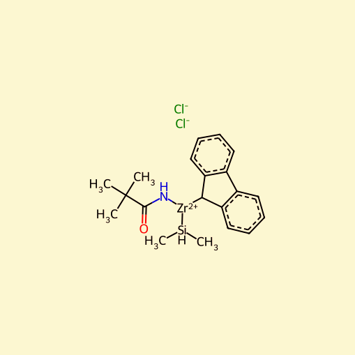 C[SiH](C)[Zr+2]([NH]C(=O)C(C)(C)C)[CH]1c2ccccc2-c2ccccc21.[Cl-].[Cl-]